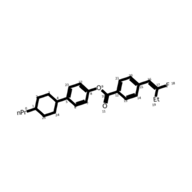 CCCC1CCC(c2ccc(OC(=O)c3ccc(/C=C(/F)CC)cc3)cc2)CC1